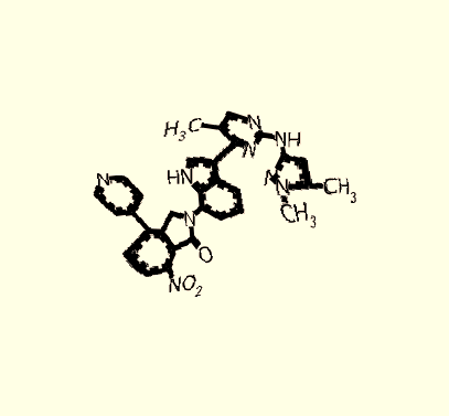 Cc1cnc(Nc2cc(C)n(C)n2)nc1-c1c[nH]c2c(N3Cc4c(-c5ccncc5)ccc([N+](=O)[O-])c4C3=O)cccc12